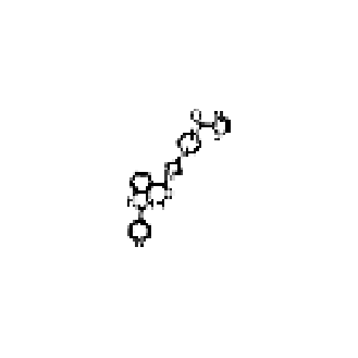 O=C(c1nccs1)N1CCN(C2CN(C(=O)c3cccc4nc(-c5ccncc5)[nH]c34)C2)CC1